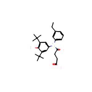 CCc1cccc(N(C(=O)CCC(=O)O)c2cc(C(C)(C)C)c(O)c(C(C)(C)C)c2)c1